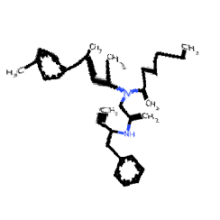 C=CC(Cc1ccccc1)NC(=C)CN(C(=C)CCCCC)C(C)/C=C(\C)c1ccc(C)cc1